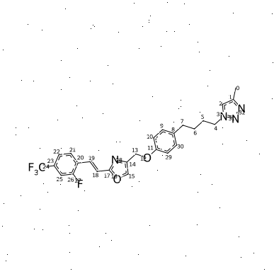 Cc1cn(CCCCc2ccc(OCc3coc(C=Cc4ccc(C(F)(F)F)cc4F)n3)cc2)nn1